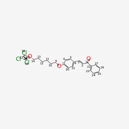 O=C(/C=C/c1ccc(OCCCCCCO[Si](Cl)(Cl)Cl)cc1)c1ccccc1